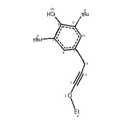 CCOC#CCc1cc(C(C)(C)C)c(O)c(C(C)(C)C)c1